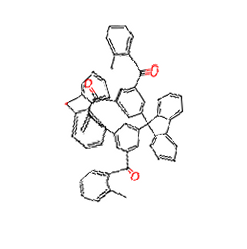 C=C(c1cc(C(=O)c2ccccc2C)cc(C2(c3cc(C(=O)c4ccccc4C)cc(C(=O)c4ccccc4C)c3)c3ccccc3-c3ccccc32)c1)c1ccccc1C